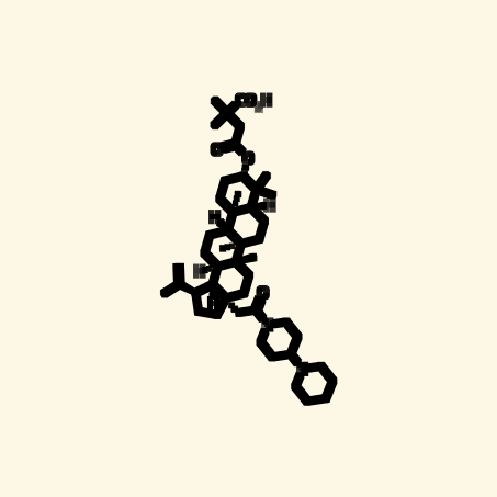 C=C(C)[C@@H]1CC[C@]2(CC(=O)N3CCC(N4CCCCC4)CC3)CC[C@]3(C)[C@H](CC[C@@H]4[C@@]5(C)CC[C@H](OC(=O)CC(C)(C)C(=O)O)C(C)(C)[C@@H]5CC[C@]43C)[C@@H]12